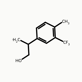 [CH2]C(CO)c1ccc(C)c(C(F)(F)F)c1